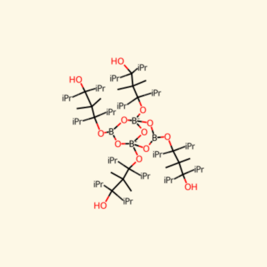 CC(C)C(O)(C(C)C)C(C)(C)C(OB1O[B-]2(OC(C(C)C)(C(C)C)C(C)(C)C(O)(C(C)C)C(C)C)OB(OC(C(C)C)(C(C)C)C(C)(C)C(O)(C(C)C)C(C)C)O[B-](OC(C(C)C)(C(C)C)C(C)(C)C(O)(C(C)C)C(C)C)(O1)O2)(C(C)C)C(C)C